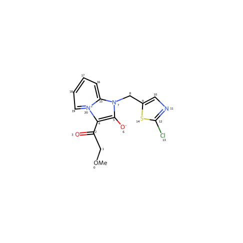 COCC(=O)c1c([O-])n(Cc2cnc(Cl)s2)c2cccc[n+]12